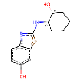 Oc1ccc2nc(N[C@@H]3CCCC[C@H]3O)sc2c1